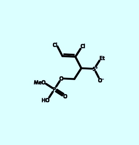 CC[S+]([O-])C(COP(=O)(O)OC)C(Cl)=CCl